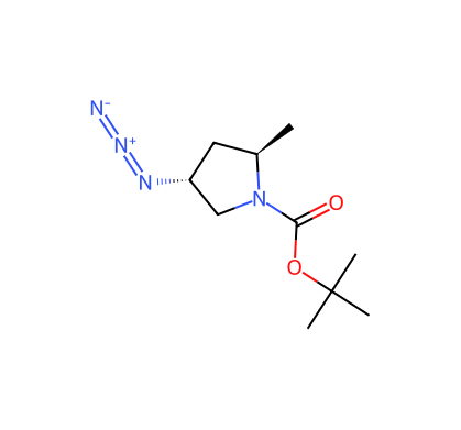 C[C@@H]1C[C@@H](N=[N+]=[N-])CN1C(=O)OC(C)(C)C